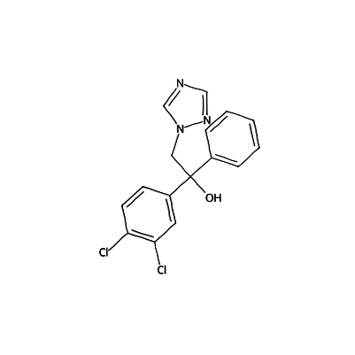 OC(Cn1cncn1)(c1ccccc1)c1ccc(Cl)c(Cl)c1